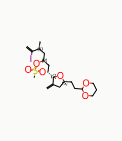 C=C1C[C@H](CCC2OCCCO2)O[C@H]1CC[C@H](C[C@H](C)C(=C)I)OS(C)(=O)=O